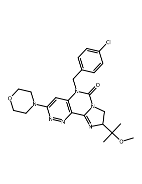 COC(C)(C)C1CN2C(=O)N(Cc3ccc(Cl)cc3)c3cc(N4CCOCC4)nnc3C2=N1